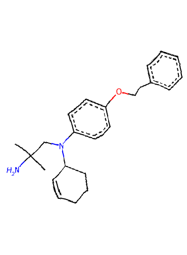 CC(C)(N)CN(c1ccc(OCc2ccccc2)cc1)C1C=CCCC1